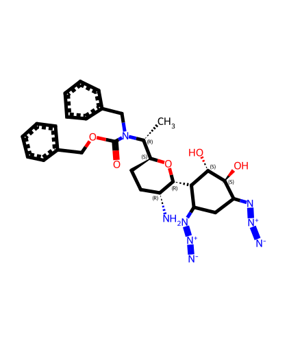 C[C@H]([C@@H]1CC[C@@H](N)[C@@H](C2C(N=[N+]=[N-])CC(N=[N+]=[N-])[C@H](O)[C@H]2O)O1)N(Cc1ccccc1)C(=O)OCc1ccccc1